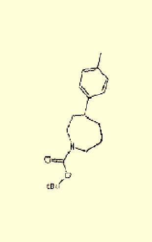 Cc1ccc(C2CCCN(C(=O)OC(C)(C)C)CC2)cc1